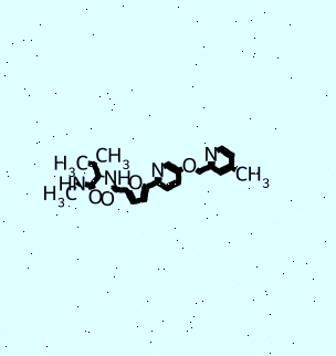 CNC(=O)[C@@H](NC(=O)c1ccc(-c2ccc(OCc3cc(C)ccn3)cn2)o1)C(C)C